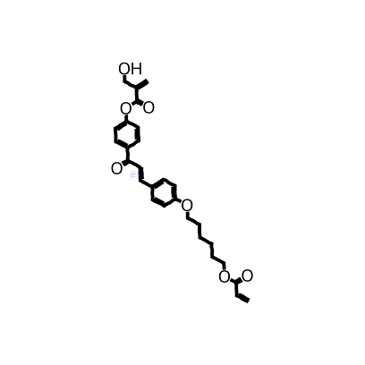 C=CC(=O)OCCCCCCOc1ccc(/C=C/C(=O)c2ccc(OC(=O)C(=C)CO)cc2)cc1